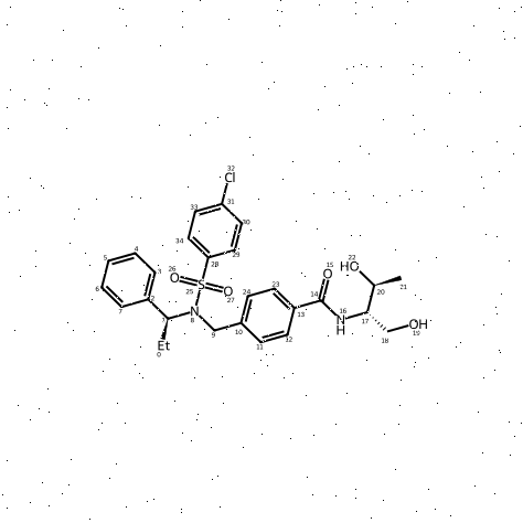 CC[C@@H](c1ccccc1)N(Cc1ccc(C(=O)N[C@@H](CO)[C@H](C)O)cc1)S(=O)(=O)c1ccc(Cl)cc1